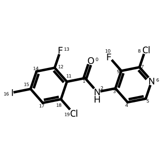 O=C(Nc1ccnc(Cl)c1F)c1c(F)cc(I)cc1Cl